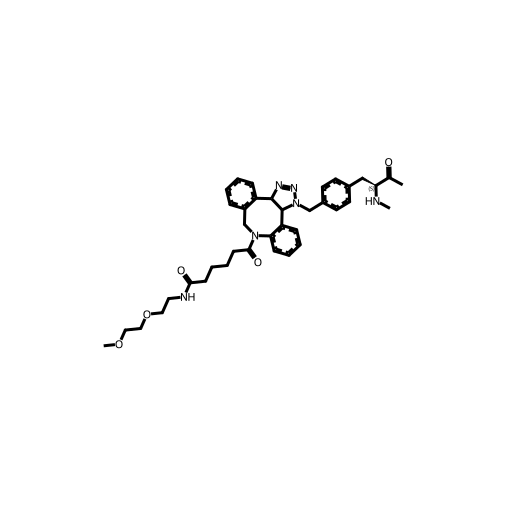 CN[C@@H](Cc1ccc(CN2N=NC3c4ccccc4CN(C(=O)CCCCC(=O)NCCOCCOC)c4ccccc4C32)cc1)C(C)=O